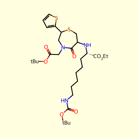 CCOC(=O)[C@H](CCCCCCNC(=O)OC(C)(C)C)NC1CSC(c2cccs2)CN(CC(=O)OC(C)(C)C)C1=O